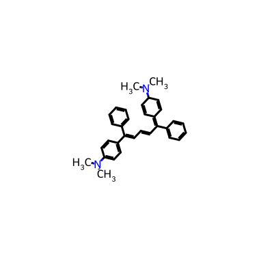 CN(C)c1ccc(C(=CC=CC(=C2C=CC(N(C)C)C=C2)c2ccccc2)c2ccccc2)cc1